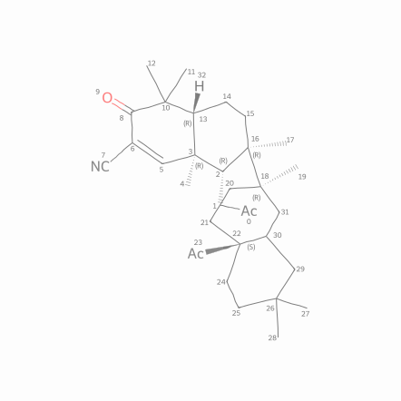 CC(=O)C[C@@H]1[C@@]2(C)C=C(C#N)C(=O)C(C)(C)[C@@H]2CC[C@@]1(C)[C@]1(C)CC[C@@]2(C(C)=O)CCC(C)(C)CC2C1